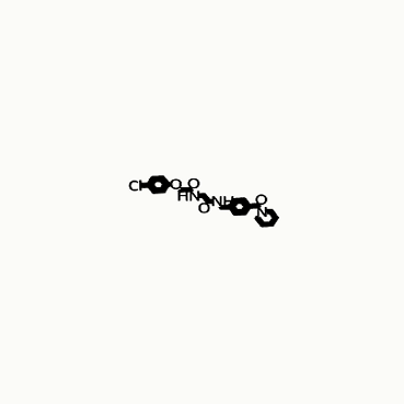 O=C(CNC(=O)COc1ccc(Cl)cc1)NCc1ccc(C(=O)N2CCCCC2)cc1